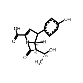 C[C@@H](O)[C@H]1C(=O)N2C(C(=O)O)=CC(c3ccc(O)cc3)[C@H]12